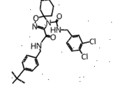 CC(C)(C)c1ccc(CNC(=O)C2=NOC3(CCCCC3)N2C(=O)NCc2ccc(Cl)c(Cl)c2)cc1